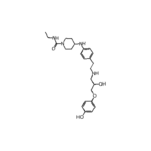 CCNC(=O)N1CCC(Nc2ccc(CCNCC(O)COc3ccc(O)cc3)cc2)CC1